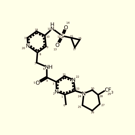 Cc1nc(C(=O)NCc2cc(NS(=O)(=O)C3CC3)ccn2)cnc1N1CCCC(C(F)(F)F)C1